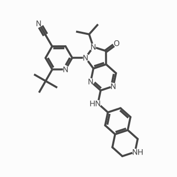 CC(C)n1c(=O)c2cnc(Nc3ccc4c(c3)CCNC4)nc2n1-c1cc(C#N)cc(C(C)(C)C)n1